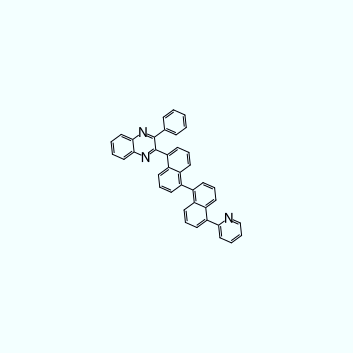 c1ccc(-c2nc3ccccc3nc2-c2cccc3c(-c4cccc5c(-c6ccccn6)cccc45)cccc23)cc1